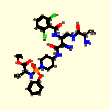 COC(=O)[C@H](C)NP(=O)(Oc1ccccc1)N1CCC(NC(=O)C(=N)/C(=C\NC(=O)[C@H](C)N)NC(=O)c2c(Cl)cccc2Cl)CC1